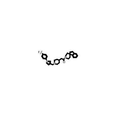 O=C(CC1CCN(Cc2ccn(-c3ccc(C(F)(F)F)cc3)c2)CC1)N1CCC2(C=Cc3ccccc32)CC1